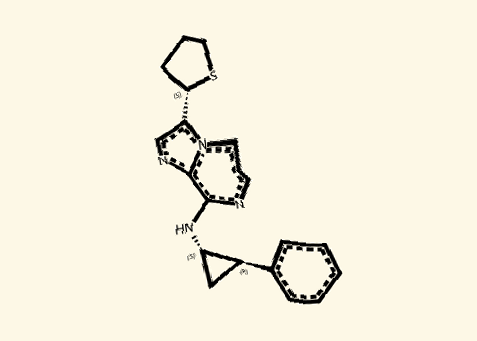 c1ccc([C@H]2C[C@@H]2Nc2nccn3c([C@@H]4CCCS4)cnc23)cc1